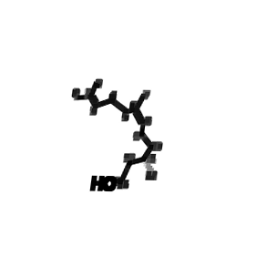 CC(C)=CCC/C(C)=C\CC[C@H](C)CCO